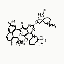 CCc1c(F)ccc2cc(O)cc(-c3nc(OC)c4c(N5CCC[C@@](C)(O)C5)nc(OC[C@]5(C)CN(C)CC[C@@H]5CF)nc4c3F)c12